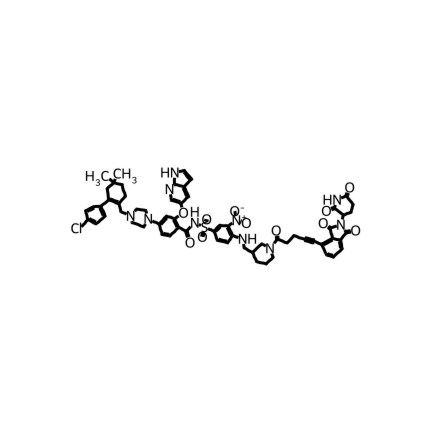 CC1(C)CCC(CN2CCN(c3ccc(C(=O)NS(=O)(=O)c4ccc(NCC5CCCN(C(=O)CCC#Cc6cccc7c6C(=O)N(C6CCC(=O)NC6=O)C7=O)C5)c([N+](=O)[O-])c4)c(Oc4cnc5[nH]ccc5c4)c3)CC2)=C(c2ccc(Cl)cc2)C1